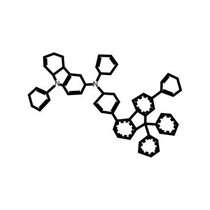 C1=CCC(N(C2C=CC(c3cccc4c3-c3ccc(C5=CCCC=C5)cc3C4(c3ccccc3)c3ccccc3)=CC2)C2C=CC3=C(C2)C2CCC=CC2N3C2=CCCC=C2)C=C1